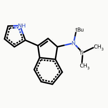 [CH3][Ti]([CH3])[N](C1C=C(c2ccc[nH]2)c2ccccc21)C(C)(C)C